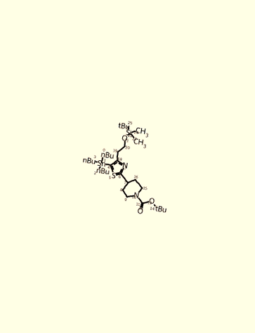 CCC[CH2][Sn]([CH2]CCC)([CH2]CCC)[c]1sc(C2CCN(C(=O)OC(C)(C)C)CC2)nc1CCO[Si](C)(C)C(C)(C)C